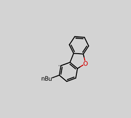 CCCCc1[c]c2c(cc1)oc1ccccc12